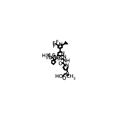 COCC1(CN(C)c2cc(-c3cc(C4CC4)nc(C(F)(F)F)c3)nc3nc(NC(=O)c4ccc(CN(C)CC(=O)O)cn4)[nH]c23)CCCC1